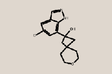 OC1(c2cc(Cl)cc3cn[nH]c23)CC2(CCOCC2)C1